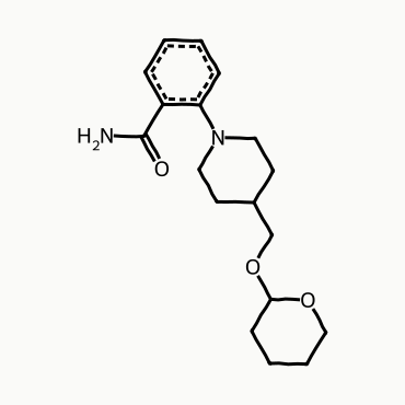 NC(=O)c1ccccc1N1CCC(COC2CCCCO2)CC1